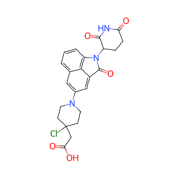 O=C(O)CC1(Cl)CCN(c2cc3c4c(cccc4c2)N(C2CCC(=O)NC2=O)C3=O)CC1